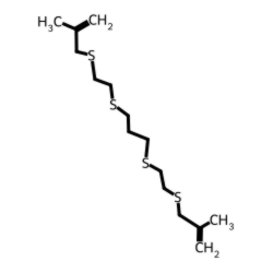 C=C(C)CSCCSCCCSCCSCC(=C)C